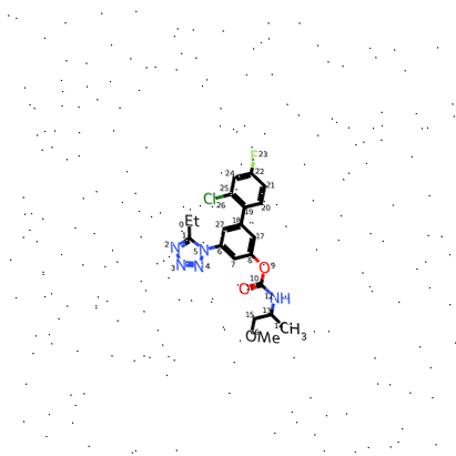 CCc1nnnn1-c1cc(OC(=O)NC(C)COC)cc(-c2ccc(F)cc2Cl)c1